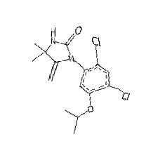 C=C1N(c2cc(OC(C)C)c(Cl)cc2Cl)C(=O)NC1(C)C